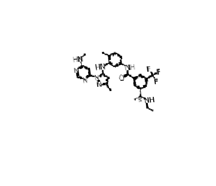 CCN[C@@H](C)c1cc(C(=O)Nc2ccc(C)c(Nc3cc(C)nn3-c3cc(NC)ncn3)c2)cc(C(F)(F)F)c1